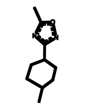 Cc1nc(C2CCC(C)CC2)no1